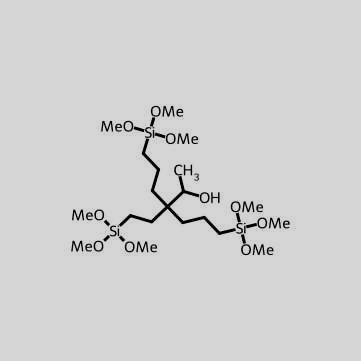 CO[Si](CCCC(CCC[Si](OC)(OC)OC)(CC[Si](OC)(OC)OC)C(C)O)(OC)OC